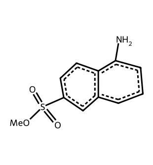 COS(=O)(=O)c1ccc2c(N)cccc2c1